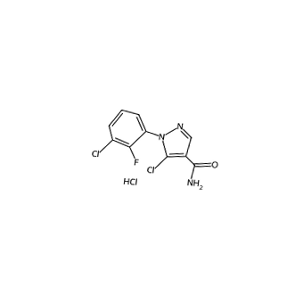 Cl.NC(=O)c1cnn(-c2cccc(Cl)c2F)c1Cl